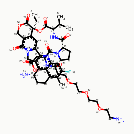 CC[C@@]1(OC(=O)[C@@H](NC(=O)[C@@H]2CCCN2C(=O)[C@H](CC(=O)O)NC(=O)CCOCCOCCOCCN)C(C)C)C(=O)OCc2c1cc1n(c2=O)Cc2c-1nc1cc(F)c(C)c3c1c2[C@@H](N)CC3